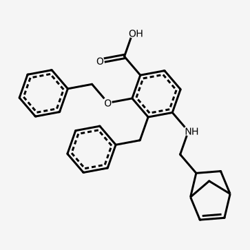 O=C(O)c1ccc(NCC2CC3C=CC2C3)c(Cc2ccccc2)c1OCc1ccccc1